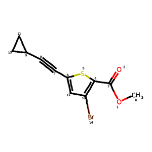 COC(=O)c1sc(C#CC2CC2)cc1Br